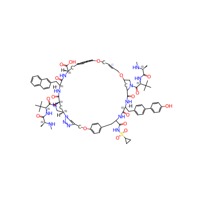 CN[C@@H](C)C(=O)N[C@H](C(=O)N1CC2CC1C(=O)N[C@@H](Cc1ccc(-c3ccc(O)cc3)cc1)C(=O)NC(C(=O)NS(=O)(=O)C1CC1)Cc1ccc(cc1)OCc1cn(nn1)[C@H]1C[C@@H](C(=O)N[C@@H](Cc3ccc4ccccc4c3)C(=O)N[C@H](C(=O)O)Cc3ccc(cc3)OC/C=C/CO2)N(C(=O)[C@@H](NC(=O)[C@H](C)NC)C(C)(C)C)C1)C(C)(C)C